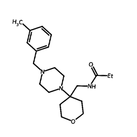 CCC(=O)NCC1(N2CCN(Cc3cccc(C)c3)CC2)CCOCC1